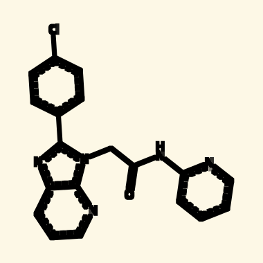 O=C(Cn1c(-c2ccc(Cl)cc2)nc2cccnc21)Nc1ccccn1